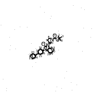 CC(C)(C)OC(=O)N1CC[C@H](n2c(=O)n(-c3ccc(-c4ccncc4)cc3)c3cccnc32)C1